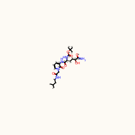 CC(C)CCNC(=O)Cn1cccc(NC(=O)[C@H](CCC(O)C(N)=O)NC(=O)OC(C)(C)C)c1=O